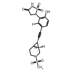 CS(=O)(=O)N1CC[C@@H]2[C@@H](C#Cc3ccc(O)c(N4CC(=O)NS4(=O)=O)c3F)[C@@H]2C1